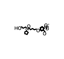 O=Cc1cc(OCCCCC(=O)N(CCCO)C2CCCC2)ccc1[N+](=O)[O-]